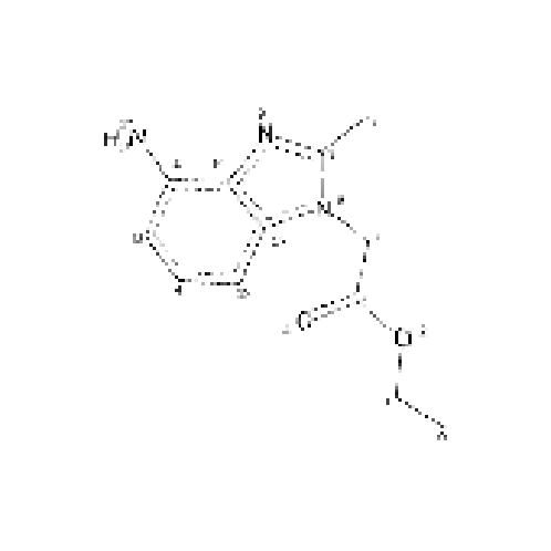 CCOC(=O)Cn1c(C)nc2c(N)cccc21